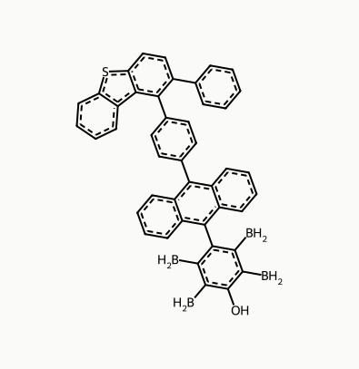 Bc1c(B)c(-c2c3ccccc3c(-c3ccc(-c4c(-c5ccccc5)ccc5sc6ccccc6c45)cc3)c3ccccc23)c(B)c(B)c1O